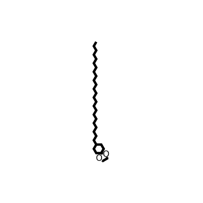 CCCCCCCCCCCCCCCCCCCCCCCCC1CCC2(CC1)OCCO2